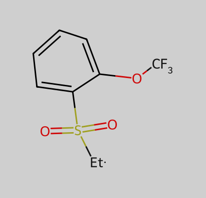 C[CH]S(=O)(=O)c1ccccc1OC(F)(F)F